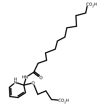 O=C(O)CCCCCCCCCCC(=O)NC1(OCCCC(=O)O)C=CC=CN1